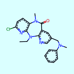 CCN1c2ncc(CN(C)c3ccccc3)cc2C(=O)N(C)c2ccc(Cl)nc21